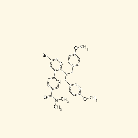 COc1ccc(CN(Cc2ccc(OC)cc2)c2ncc(Br)cc2-c2ccc(C(=O)N(C)C)cn2)cc1